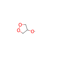 [O]C1COOC1